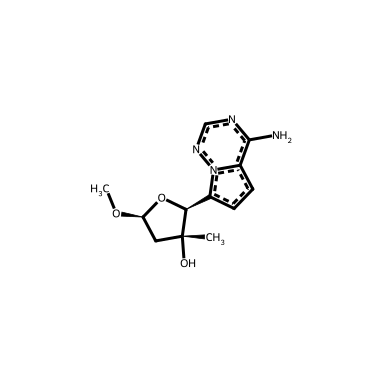 CO[C@@H]1C[C@@](C)(O)[C@H](c2ccc3c(N)ncnn23)O1